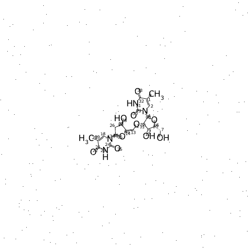 Cc1cn([C@@H]2O[C@H](CO)C(O)[C@@H]2OC[C@H]2O[C@@H](n3cc(C)c(=O)[nH]c3=O)C[C@H]2O)c(=O)[nH]c1=O